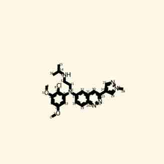 COc1cc(OC)c(Cl)c(N(CCNC(C)C)c2ccc3nnc(-c4cnn(C)c4)cc3c2)c1